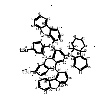 CC(C)(C)c1ccc2c(c1)B1c3cc(C(C)(C)C)ccc3N(c3cccc4oc5ccccc5c34)c3cc(N4c5ccccc5C5(C)CCCCC45C)cc(c31)N2c1cccc2c1oc1ccccc12